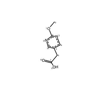 COc1ncc(CC(=O)O)cn1